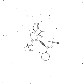 CCO[C@]12CC[C@@H](O[Si](C)(C)C(C)(C)C)[C@H](C#C[C@@H](O[Si](C)(C)C(C)(C)C)C3CCCCC3)[C@H]1C(C)C2=O